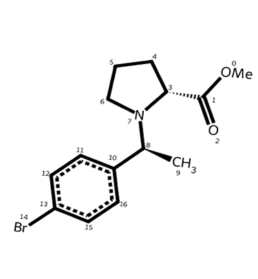 COC(=O)[C@H]1CCCN1[C@@H](C)c1ccc(Br)cc1